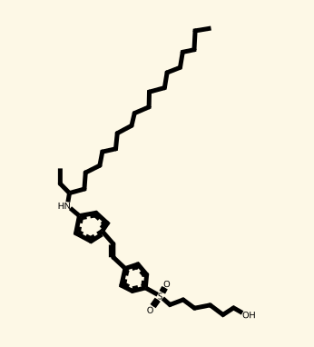 CCCCCCCCCCCCCCCCCC(CC)Nc1ccc(C=Cc2ccc(S(=O)(=O)CCCCCCO)cc2)cc1